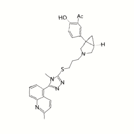 CC(=O)c1cc(C23C[C@H]2CN(CCCSc2nnc(-c4cccc5nc(C)ccc45)n2C)C3)ccc1O